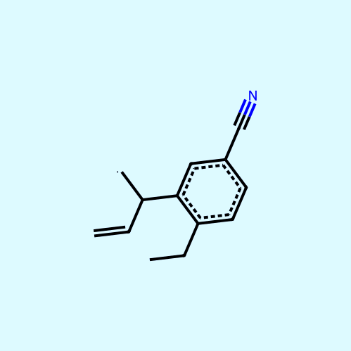 [CH2]C(C=C)c1cc(C#N)ccc1CC